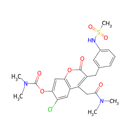 CN(C)C(=O)Cc1c(Cc2cccc(NS(C)(=O)=O)c2)c(=O)oc2cc(OC(=O)N(C)C)c(Cl)cc12